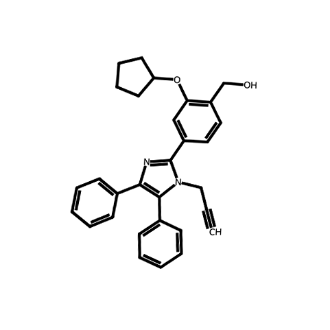 C#CCn1c(-c2ccc(CO)c(OC3CCCC3)c2)nc(-c2ccccc2)c1-c1ccccc1